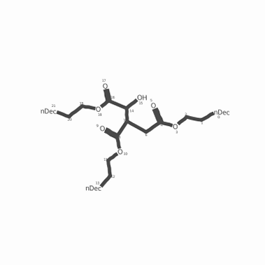 CCCCCCCCCCCCOC(=O)CC(C(=O)OCCCCCCCCCCCC)C(O)C(=O)OCCCCCCCCCCCC